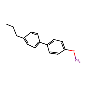 CCCc1ccc(-c2ccc(OP)cc2)cc1